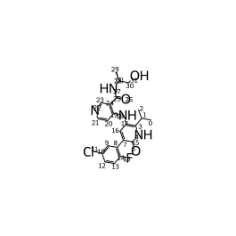 CC(C)c1[nH]c(=O)c(-c2cc(Cl)ccc2F)cc1Nc1ccncc1C(=O)N[C@@H](C)CO